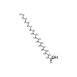 CCCCCCCCCCCCCCCCCCCCCCCC(C)O